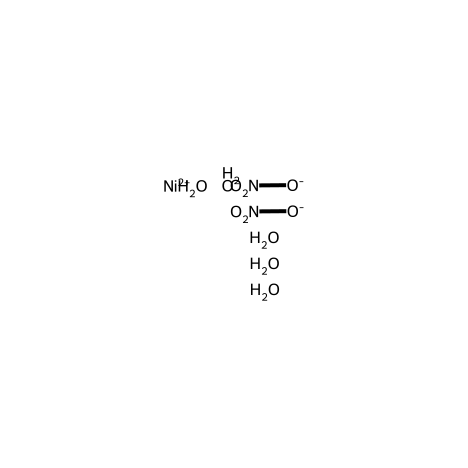 O.O.O.O.O.O=[N+]([O-])[O-].O=[N+]([O-])[O-].[Ni+2]